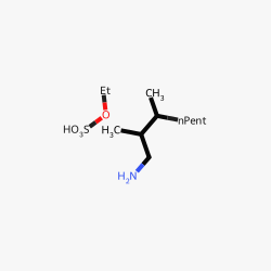 CCCCCC(C)C(C)CN.CCOS(=O)(=O)O